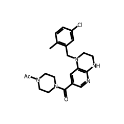 CC(=O)N1CCN(C(=O)c2cnc3c(c2)N(Cc2cc(Cl)ccc2C)CCN3)CC1